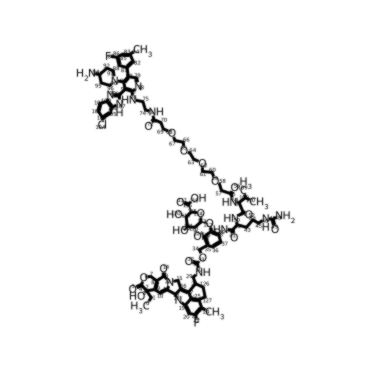 CC[C@@]1(O)C(=O)OCc2c1cc1n(c2=O)Cc2c-1nc1cc(F)c(C)c3c1c2C(CNC(=O)OCc1ccc(NC(=O)C(CCCNC(N)=O)NC(=O)[C@@H](NC(=O)CCOCCOCCOCCOCCC(=O)NCCNc2ncc(-c4cc(C)cc(F)c4)c(N4CCC(N)CC4)c2-c2nc4ccc(Cl)cc4[nH]2)C(C)C)c(O[C@@H]2O[C@H](C(=O)O)[C@@H](O)[C@H](O)[C@H]2O)c1)CC3